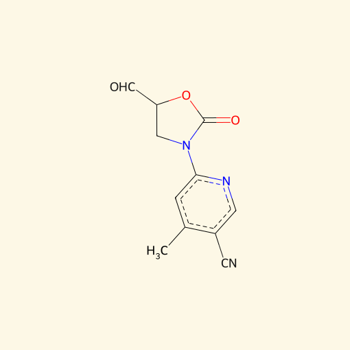 Cc1cc(N2CC(C=O)OC2=O)ncc1C#N